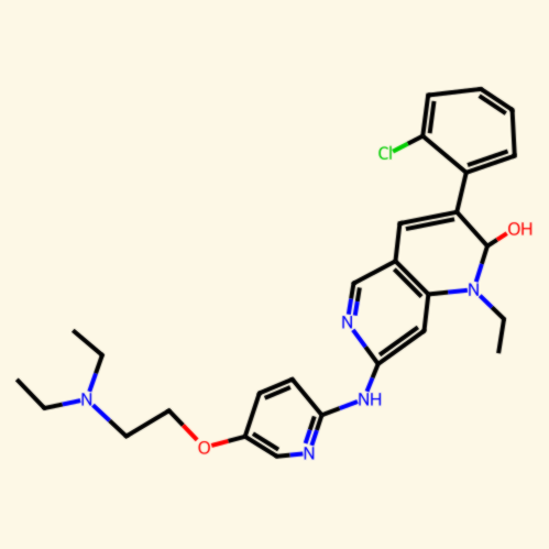 CCN(CC)CCOc1ccc(Nc2cc3c(cn2)C=C(c2ccccc2Cl)C(O)N3CC)nc1